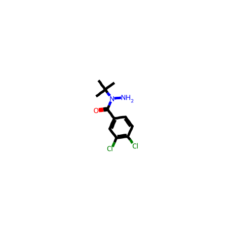 CC(C)(C)N(N)C(=O)c1ccc(Cl)c(Cl)c1